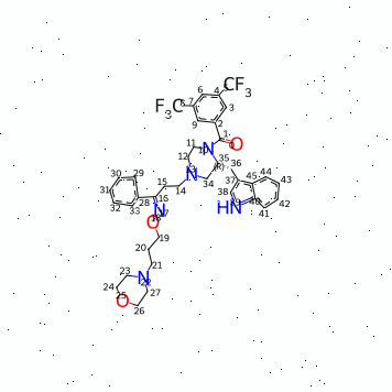 O=C(c1cc(C(F)(F)F)cc(C(F)(F)F)c1)N1CCN(CCC(=NOCCCN2CCOCC2)c2ccccc2)C[C@H]1Cc1c[nH]c2ccccc12